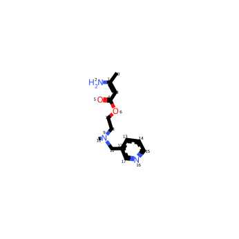 C/C(N)=C/C(=O)OCCN(C)Cc1cccnc1